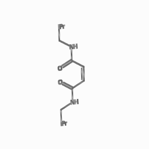 CC(C)CNC(=O)/C=C\C(=O)NCC(C)C